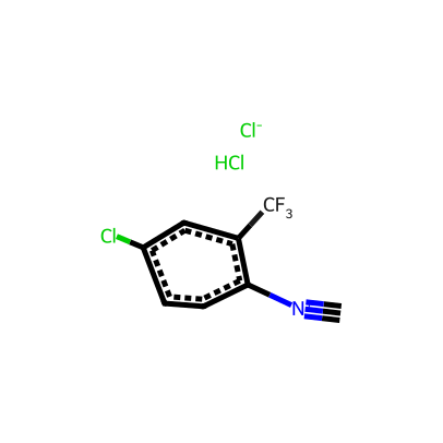 C#[N+]c1ccc(Cl)cc1C(F)(F)F.Cl.[Cl-]